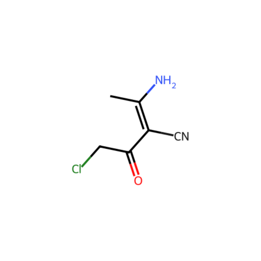 CC(N)=C(C#N)C(=O)CCl